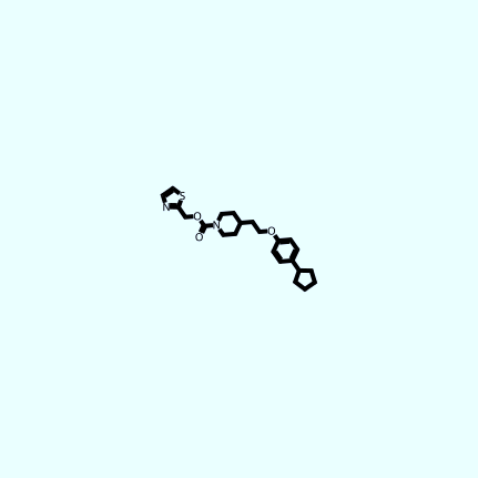 O=C(OCc1nccs1)N1CCC(CCOc2ccc(C3CCCC3)cc2)CC1